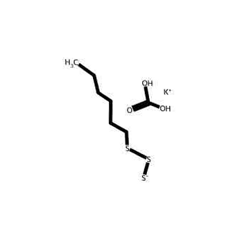 CCCCCCSS[S-].O=C(O)O.[K+]